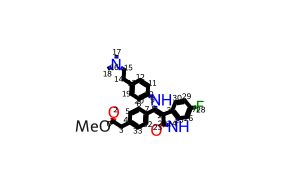 COC(=O)Cc1ccc(C(Nc2ccc(CCN(C)C)cc2)=C2C(=O)Nc3cc(F)ccc32)cc1